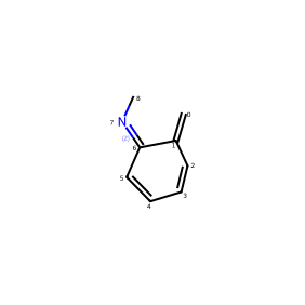 C=C1C=CC=C/C1=N/C